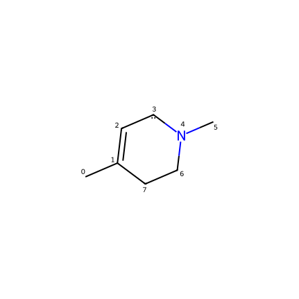 CC1=C[C]N(C)CC1